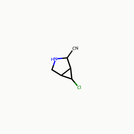 N#CC1NCC2C(Cl)C12